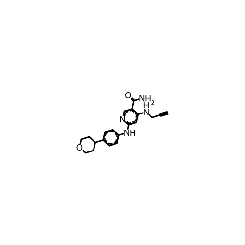 C#CCNc1cc(Nc2ccc(C3CCOCC3)cc2)ncc1C(N)=O